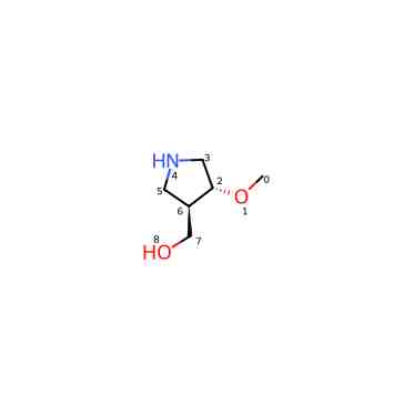 CO[C@H]1CNC[C@@H]1CO